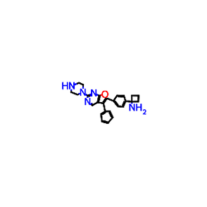 NC1(c2ccc(-c3oc4nc(N5CCNCC5)ncc4c3-c3ccccc3)cc2)CCC1